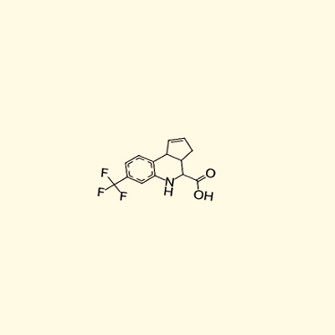 O=C(O)C1Nc2cc(C(F)(F)F)ccc2C2C=CCC12